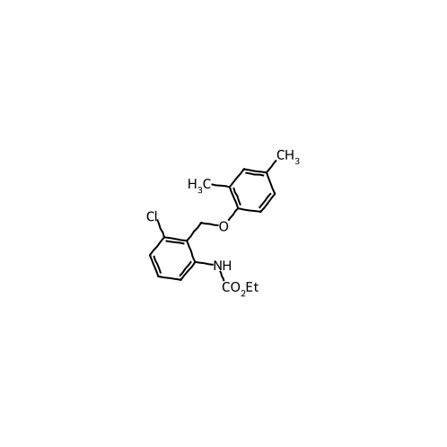 CCOC(=O)Nc1cccc(Cl)c1COc1ccc(C)cc1C